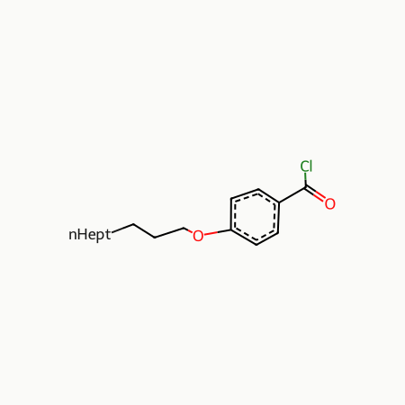 CCCCCCCCCCOc1ccc(C(=O)Cl)cc1